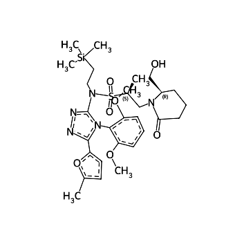 COc1cccc(OC)c1-n1c(-c2ccc(C)o2)nnc1N(CC[Si](C)(C)C)S(=O)(=O)[C@@H](C)CN1C(=O)CCC[C@@H]1CO